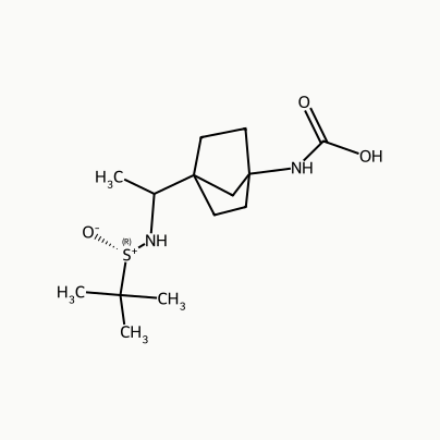 CC(N[S@@+]([O-])C(C)(C)C)C12CCC(NC(=O)O)(CC1)C2